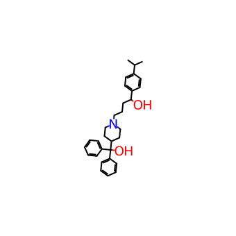 CC(C)c1ccc(C(O)CCCN2CCC(C(O)(c3ccccc3)c3ccccc3)CC2)cc1